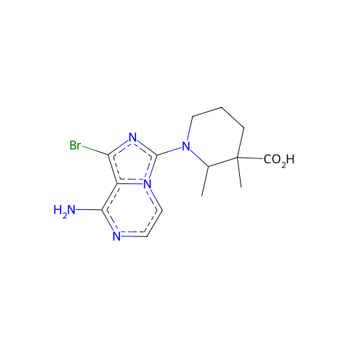 CC1N(c2nc(Br)c3c(N)nccn23)CCCC1(C)C(=O)O